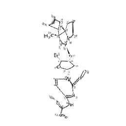 CC[C@H]1O[C@@H](n2ccc(NC(=O)C(C)C)nc2=O)C[C@H]1O[P@@]1O[C@](C)(C2CCC2)[C@@H]2CCCN21